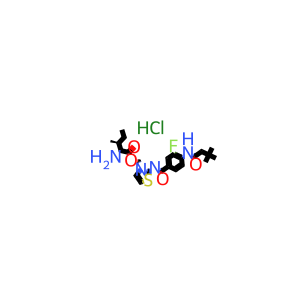 CC[C@H](C)[C@H](N)C(=O)OCn1ccs/c1=N\C(=O)c1ccc(NC(=O)CC(C)(C)C)c(F)c1.Cl